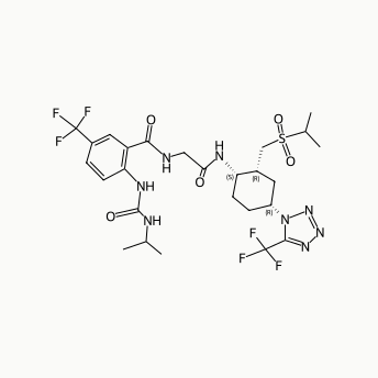 CC(C)NC(=O)Nc1ccc(C(F)(F)F)cc1C(=O)NCC(=O)N[C@H]1CC[C@@H](n2nnnc2C(F)(F)F)C[C@H]1CS(=O)(=O)C(C)C